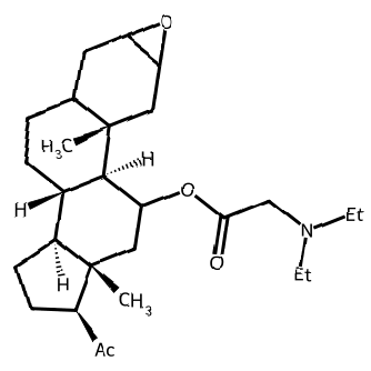 CCN(CC)CC(=O)OC1C[C@]2(C)[C@@H](C(C)=O)CC[C@H]2[C@@H]2CCC3CC4OC4C[C@]3(C)[C@@H]12